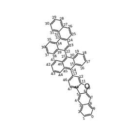 c1ccc2cc3c(cc2c1)oc1cc(-c2c4ccccc4c(-c4cc5ccc6ccccc6c5c5ccccc45)c4ccccc24)ccc13